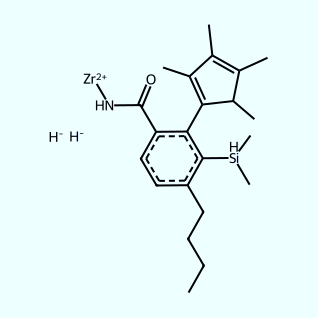 CCCCc1ccc(C(=O)[NH][Zr+2])c(C2=C(C)C(C)=C(C)C2C)c1[SiH](C)C.[H-].[H-]